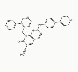 C#Cc1cc2cnc(Nc3ccc(C4=CCNCC4)cc3)nc2n(Cc2ccncc2-c2ccncc2)c1=O